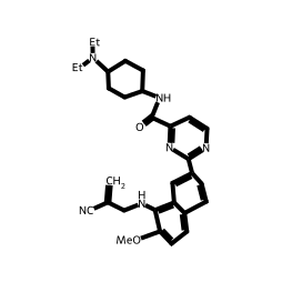 C=C(C#N)CNc1c(OC)ccc2ccc(-c3nccc(C(=O)NC4CCC(N(CC)CC)CC4)n3)cc12